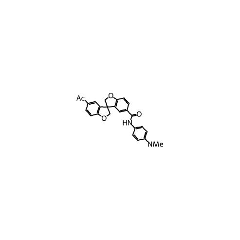 CNc1ccc(NC(=O)c2ccc3c(c2)C2(COc4ccc(C(C)=O)cc42)CO3)cc1